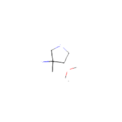 CC(C)(C)OC=O.CC1(N)CCNC1